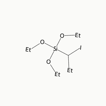 CCO[Si](OCC)(OCC)C(I)CC